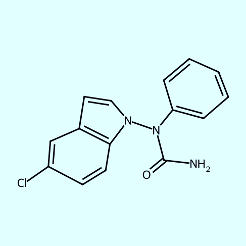 NC(=O)N(c1ccccc1)n1ccc2cc(Cl)ccc21